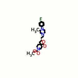 COC(=O)N1CCC2(CC1)C[C@H](CCN1CCN(c3ccc(F)cc3)[C@H](C)C1)OC2=O